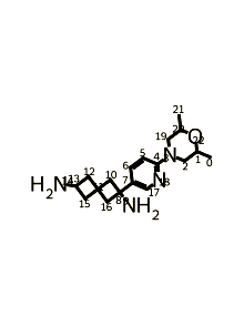 CC1CN(c2ccc(C3(N)CC4(CC(N)C4)C3)cn2)CC(C)O1